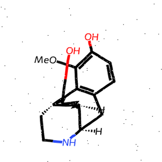 COc1c(O)ccc2c1[C@]13CCN[C@H](C2)[C@@H]1C=CC(O)C3